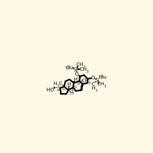 CC(C)(C)[Si](C)(C)OC1CC2=CC[C@H]3[C@@H]4CC[C@H](CO)[C@@]4(C)CC[C@@H]3[C@@]2(C)[C@@H](O[Si](C)(C)C(C)(C)C)C1